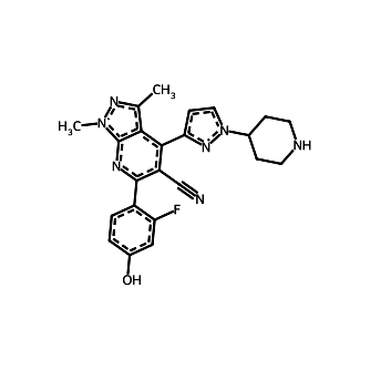 Cc1nn(C)c2nc(-c3ccc(O)cc3F)c(C#N)c(-c3ccn(C4CCNCC4)n3)c12